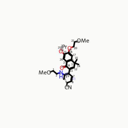 COCCN/C(C)=C(/C=C\CC#N)C1=CC(C)(C)c2cc(OCCOC)c(OC(C)C)cc2C1=O